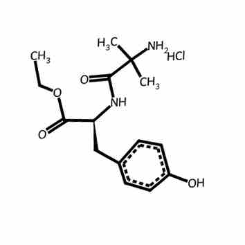 CCOC(=O)[C@H](Cc1ccc(O)cc1)NC(=O)C(C)(C)N.Cl